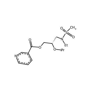 CCN(C[C@@H](COC(=O)c1cccnc1)OC(C)C)S(C)(=O)=O